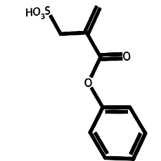 C=C(CS(=O)(=O)O)C(=O)Oc1ccccc1